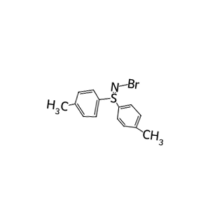 Cc1ccc(S(=NBr)c2ccc(C)cc2)cc1